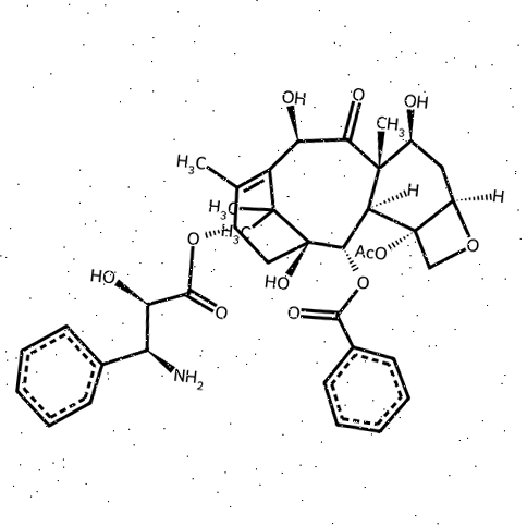 CC(=O)O[C@@]12CO[C@@H]1C[C@H](O)[C@@]1(C)C(=O)[C@H](O)C3=C(C)[C@@H](OC(=O)[C@H](O)[C@@H](N)c4ccccc4)C[C@@](O)([C@@H](OC(=O)c4ccccc4)[C@H]21)C3(C)C